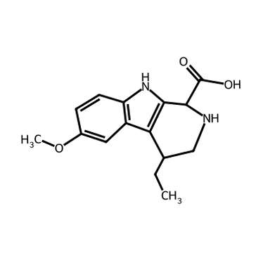 CCC1CNC(C(=O)O)c2[nH]c3ccc(OC)cc3c21